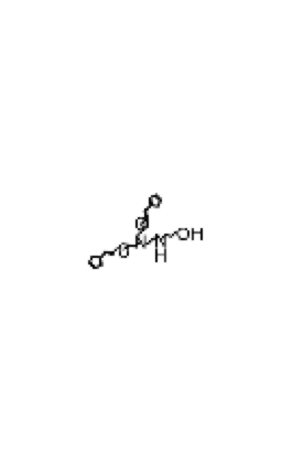 OCCCNCCN(CCOCCCC1=CC=CC1)CCOCCC1=CC=CC1